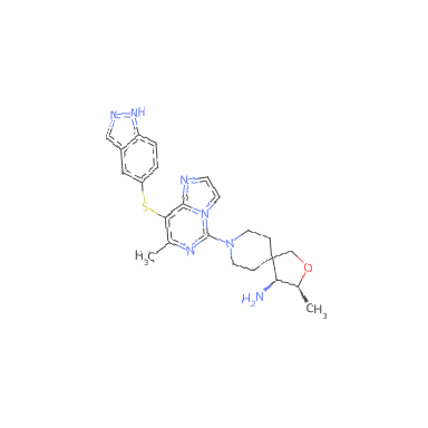 Cc1nc(N2CCC3(CC2)CO[C@@H](C)[C@H]3N)n2ccnc2c1Sc1ccc2[nH]ncc2c1